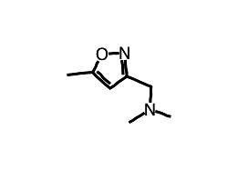 Cc1cc(CN(C)C)no1